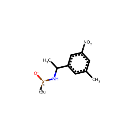 Cc1cc(C(C)N[S@+]([O-])C(C)(C)C)cc([N+](=O)[O-])c1